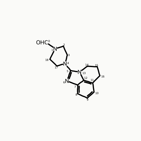 O=CN1CCN(c2nc3cccc4c3n2CCC4)CC1